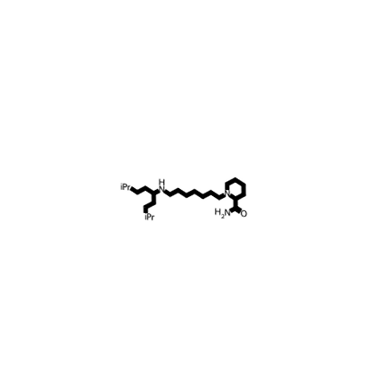 CC(C)CCC(CCC(C)C)NCCCCCCCN1CCCCC1C(N)=O